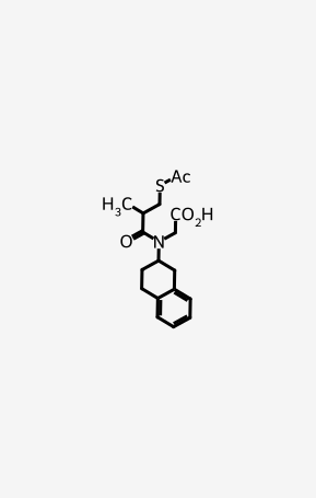 CC(=O)SCC(C)C(=O)N(CC(=O)O)C1CCc2ccccc2C1